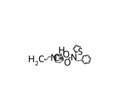 C=CC[N+]12CCC(CC1)[C@@H](OC(=O)N(Cc1ccccc1)c1cccs1)C2